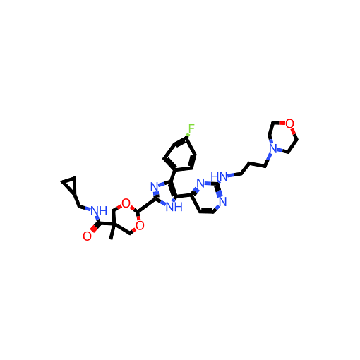 CC1(C(=O)NCC2CC2)COC(c2nc(-c3ccc(F)cc3)c(-c3ccnc(NCCCN4CCOCC4)n3)[nH]2)OC1